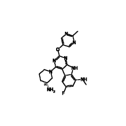 CNc1cc(F)cc2c1[nH]c1nc(Oc3cnc(C)nc3)nc(N3CCC[C@@H](N)C3)c12